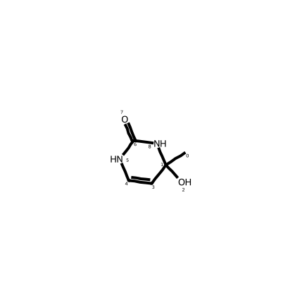 CC1(O)C=CNC(=O)N1